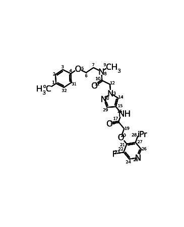 Cc1ccc(OCCN(C)C(=O)Cn2cc(NC(=O)COc3c(F)cncc3C(C)C)cn2)cc1